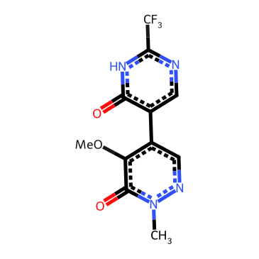 COc1c(-c2cnc(C(F)(F)F)[nH]c2=O)cnn(C)c1=O